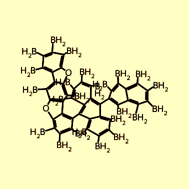 Bc1c(B)c(B)c2c(oc3c(B)c4c(oc5c(B)c(B)c(B)c(-c6c7c(B)c(B)c(B)c(B)c7c(-c7c(B)c(B)c8c(B)c(B)c(B)c(B)c8c7B)c7c(B)c(B)c(B)c(B)c67)c54)c(B)c32)c1B